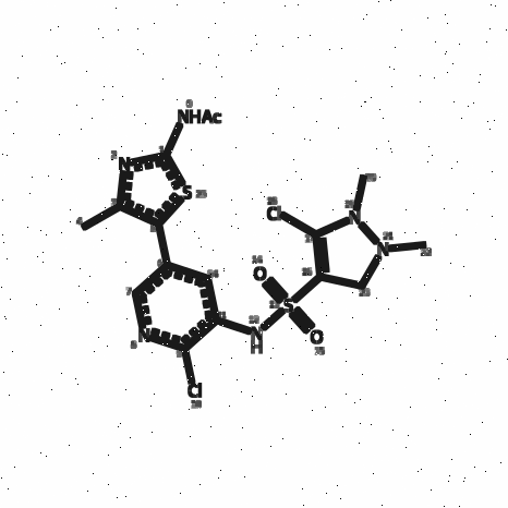 CC(=O)Nc1nc(C)c(-c2cnc(Cl)c(NS(=O)(=O)C3=C(Cl)N(C)N(C)C3)c2)s1